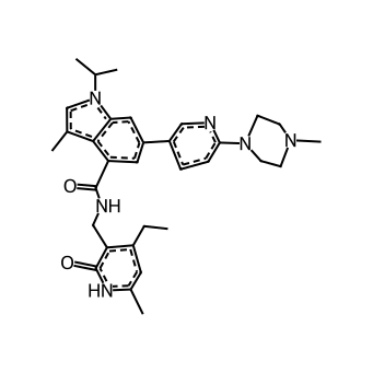 CCc1cc(C)[nH]c(=O)c1CNC(=O)c1cc(-c2ccc(N3CCN(C)CC3)nc2)cc2c1c(C)cn2C(C)C